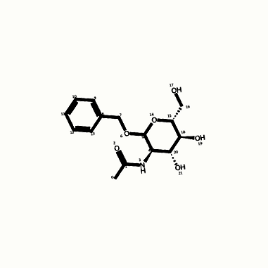 CC(=O)N[C@H]1C(OCc2ccccc2)O[C@H](CO)[C@@H](O)[C@@H]1O